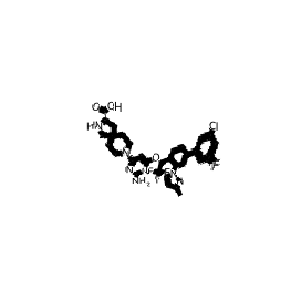 Cc1ccn(-c2cc(-c3cc(F)cc(Cl)c3)ccc2[C@@H](Oc2cc(N3CCC4(CC3)CN[C@H](C(=O)O)C4)nc(N)n2)C(F)(F)F)n1